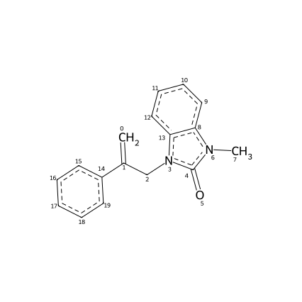 C=C(Cn1c(=O)n(C)c2ccccc21)c1ccccc1